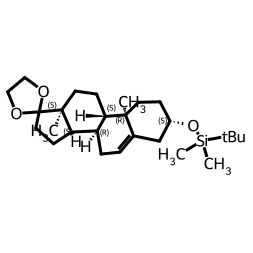 CC(C)(C)[Si](C)(C)O[C@H]1CC[C@@]2(C)C(=CC[C@@H]3[C@@H]2CC[C@@]2(C)[C@H]3CCC23OCCO3)C1